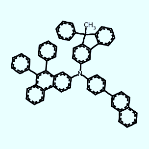 CC1(c2ccccc2)c2ccccc2-c2cc(N(c3ccc(-c4ccc5ccccc5c4)cc3)c3ccc4c(c3)c(-c3ccccc3)c(-c3ccccc3)c3ccccc34)ccc21